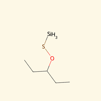 CCC(CC)OS[SiH3]